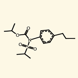 CCCc1ccc(N(C(=O)OC(C)C)S(=O)(=O)C(C)C)cc1